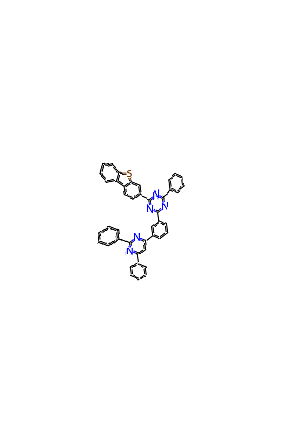 c1ccc(-c2cc(-c3cccc(-c4nc(-c5ccccc5)nc(-c5ccc6c(c5)sc5ccccc56)n4)c3)nc(-c3ccccc3)n2)cc1